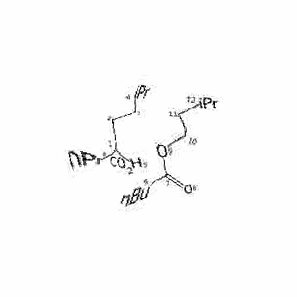 CCCC(CCC(C)C)C(=O)O.CCCCC(=O)OCCC(C)C